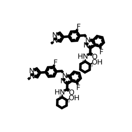 Cn1cc(-c2ccc(Cn3nc(C(=O)N[C@@H]4CCCC[C@H]4O)c4c(F)cccc43)c(F)c2)cn1.Cn1cc(-c2ccc(Cn3nc(C(=O)N[C@H]4CCCC[C@@H]4O)c4c(F)cccc43)c(F)c2)cn1